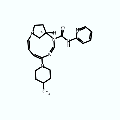 O=C(Nc1ccccn1)N1C=NC(N2CCC(C(F)(F)F)CC2)=CC=CN2CC[C@H]1C2